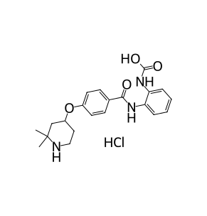 CC1(C)CC(Oc2ccc(C(=O)Nc3ccccc3NC(=O)O)cc2)CCN1.Cl